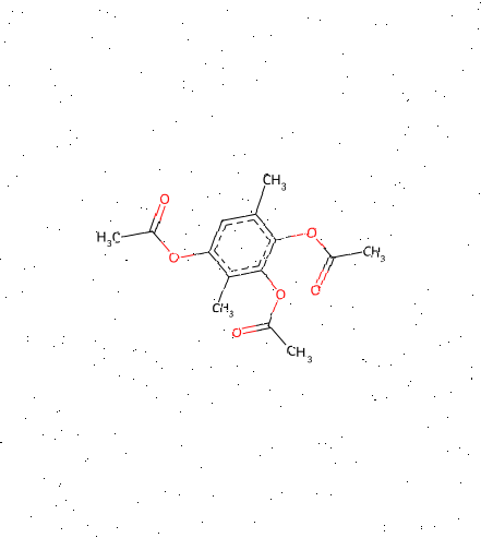 CC(=O)Oc1cc(C)c(OC(C)=O)c(OC(C)=O)c1C